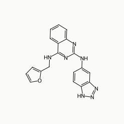 c1coc(CNc2nc(Nc3ccc4[nH]nnc4c3)nc3ccccc23)c1